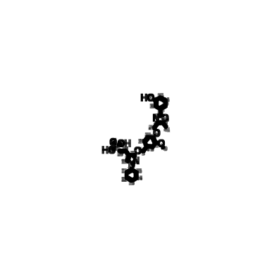 COc1cc(COc2nn(-c3ccccc3)cc2C=CP(=O)(O)O)ccc1OCc1nc(-c2cccc(O)c2)oc1C